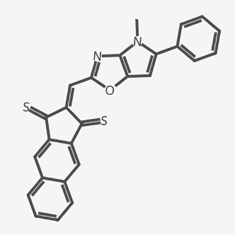 Cn1c(-c2ccccc2)cc2oc(C=C3C(=S)c4cc5ccccc5cc4C3=S)nc21